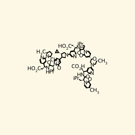 Cc1ccn([C@@H](CC(C)C)C(=O)N[C@@H](CC(=O)O)c2cncc(N3C[C@@H](C)O[C@@H](c4ccn(C(CC(C)C)C(=O)N[C@@H](CC(=O)O)c5cncc(N6CC(c7ccn([C@@H](CC(C)C)C(=O)N[C@@H](CC(=O)O)c8ccnc(N9[C@H](C)CC[C@@H]9C)c8)c(=O)c7)[C@H](C7CC7)C6)c5)c(=O)c4)C3)c2)c(=O)c1